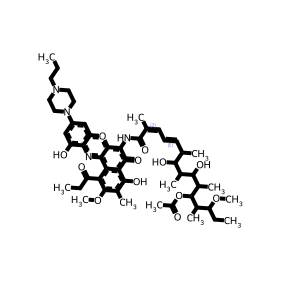 CCCN1CCN(c2cc(O)c3nc4c5c(C(=O)CC)c(OC)c(C)c(O)c5c(=O)c(NC(=O)/C(C)=C\C=C\C(C)C(O)C(C)C(O)C(C)C(OC(C)=O)C(C)C(CC)OC)c-4oc3c2)CC1